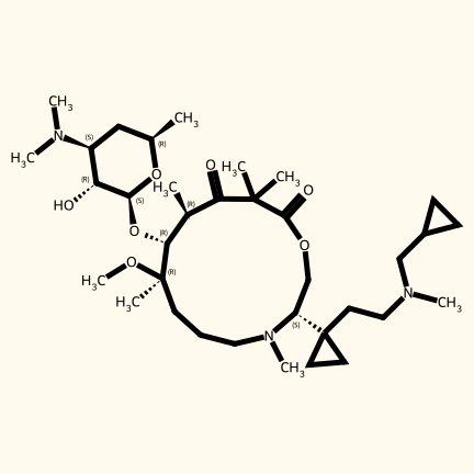 CO[C@]1(C)CCCN(C)[C@@H](C2(CCN(C)CC3CC3)CC2)COC(=O)C(C)(C)C(=O)[C@H](C)[C@H]1O[C@@H]1O[C@H](C)C[C@H](N(C)C)[C@H]1O